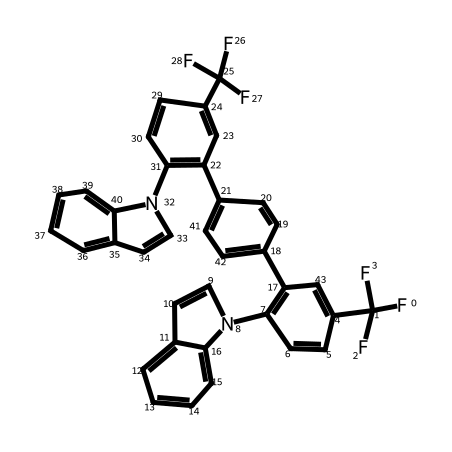 FC(F)(F)c1ccc(-n2ccc3ccccc32)c(-c2ccc(-c3cc(C(F)(F)F)ccc3-n3ccc4ccccc43)cc2)c1